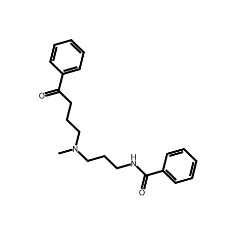 CN(CCCNC(=O)c1ccccc1)CCCC(=O)c1ccccc1